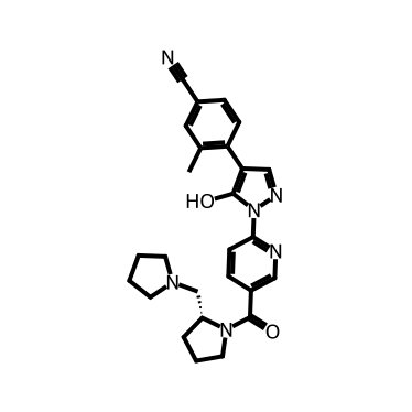 Cc1cc(C#N)ccc1-c1cnn(-c2ccc(C(=O)N3CCC[C@@H]3CN3CCCC3)cn2)c1O